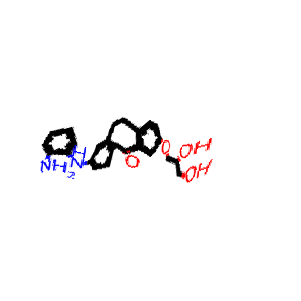 Nc1ccccc1Nc1ccc2c(c1)CCc1ccc(OCC(O)CO)cc1C2=O